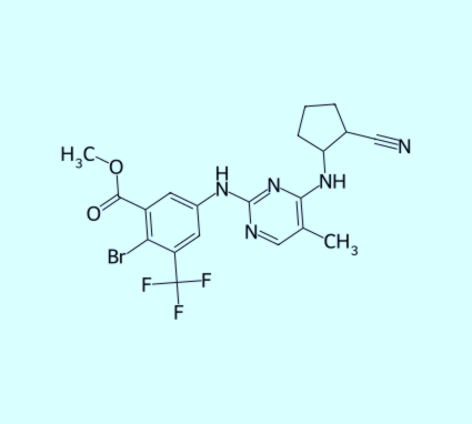 COC(=O)c1cc(Nc2ncc(C)c(NC3CCCC3C#N)n2)cc(C(F)(F)F)c1Br